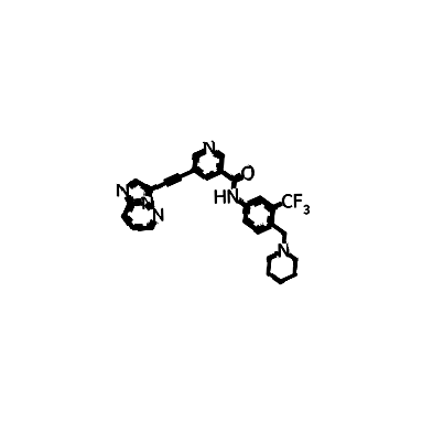 O=C(Nc1ccc(CN2CCCCC2)c(C(F)(F)F)c1)c1cncc(C#Cc2cnc3cccnn23)c1